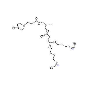 [CH2]C(COC(=O)CCC(OCCCC/C=C\CC)OCCCC/C=C\CC)COC(=O)CCN1CCN(CC)CC1